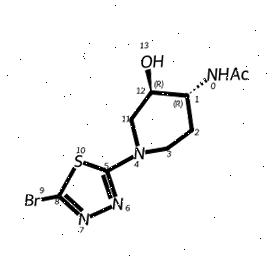 CC(=O)N[C@@H]1CCN(c2nnc(Br)s2)C[C@H]1O